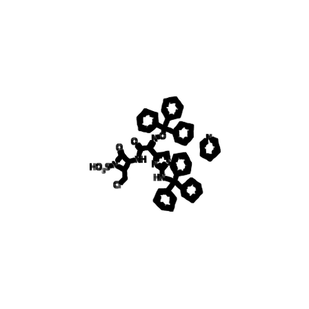 O=C(NC1C(=O)N(S(=O)(=O)O)C1CCl)/C(=N/OC(c1ccccc1)(c1ccccc1)c1ccccc1)c1csc(NC(c2ccccc2)(c2ccccc2)c2ccccc2)n1.c1ccncc1